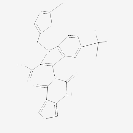 O=C(O)c1c(-n2c(=O)[nH]c3cscc3c2=O)c2cc(C(F)(F)F)ccc2n1Cc1cnc(Cl)s1